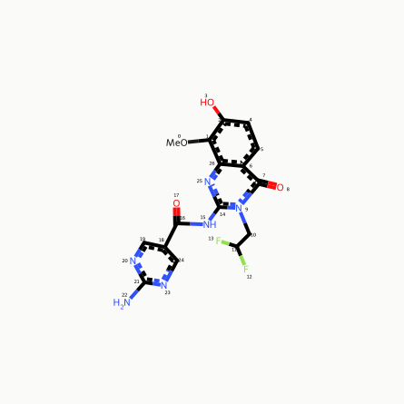 COc1c(O)ccc2c(=O)n(CC(F)F)c(NC(=O)c3cnc(N)nc3)nc12